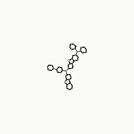 c1ccc(-c2ccc(N(c3ccc4c(c3)oc3cc(N(c5ccccc5)c5ccccc5)ccc34)c3ccc4c(c3)sc3ccccc34)cc2)cc1